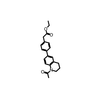 CCOC(=O)Cc1ccc(-c2ccc3c(c2)CCCN3C(C)=O)cc1